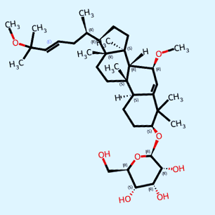 CO[C@H]1C=C2[C@@H](CC[C@H](O[C@@H]3O[C@H](CO)[C@@H](O)[C@@H](O)[C@H]3O)C2(C)C)[C@]2(C)CC[C@]3(C)[C@@H]([C@H](C)C/C=C/C(C)(C)OC)CC[C@@]3(C)[C@H]12